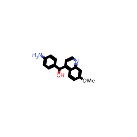 COc1ccc2c(C(O)c3ccc(N)cc3)ccnc2c1